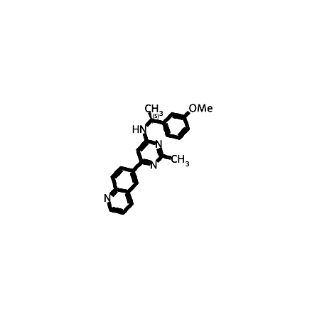 COc1cccc([C@H](C)Nc2cc(-c3ccc4ncccc4c3)nc(C)n2)c1